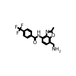 Cc1nc2c(NC(=O)c3ccc(C(F)(F)F)cc3)ccc(CN)c2o1